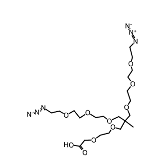 CC(COCCOCCOCCN=[N+]=[N-])(COCCOCCOCCN=[N+]=[N-])COCCOCC(=O)O